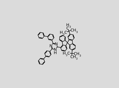 CC(C)(C)c1ccc2c(c1)C1(c3cc(C(C)(C)C)ccc3-2)c2ccccc2-c2c(C3N=C(c4cccc(-c5ccccc5)c4)N=C(c4ccc(-c5ccccc5)cc4)N3)cccc21